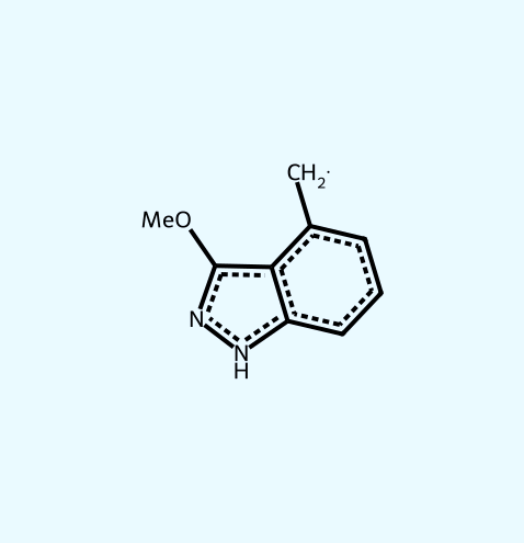 [CH2]c1cccc2[nH]nc(OC)c12